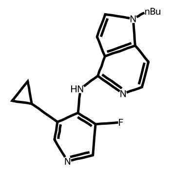 CCCCn1ccc2c(Nc3c(F)cncc3C3CC3)nccc21